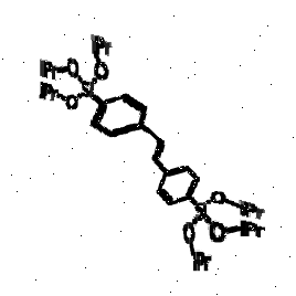 CC(C)O[Si](OC(C)C)(OC(C)C)c1ccc(C=Cc2ccc([Si](OC(C)C)(OC(C)C)OC(C)C)cc2)cc1